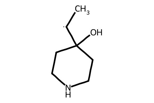 C[CH]C1(O)CCNCC1